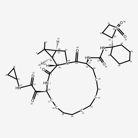 CC1(C)[C@@H]2[C@H]3C(=O)N[C@H](C(=O)C(=O)NC4CC4)CCCCCCCCCC[C@H](NC(=O)NC4([C@@H]5CCS5(=O)=O)CCCCC4)C(=O)N3C[C@@H]21